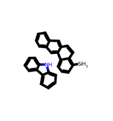 [SiH3]c1cccc2c1ccc1cc3ccccc3cc12.c1ccc2c(c1)[nH]c1ccccc12